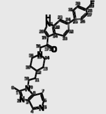 Cc1nc2cnccc2n1CCC1CCN(CC(=O)c2c[nH]c3cc(-c4ccc(F)cc4)ccc23)CC1